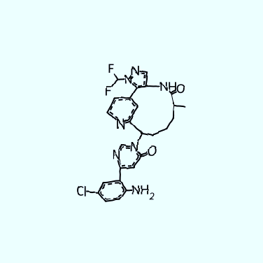 CC1CCCC(n2cnc(-c3cc(Cl)ccc3N)cc2=O)c2cc(ccn2)-c2c(cnn2C(F)F)NC1=O